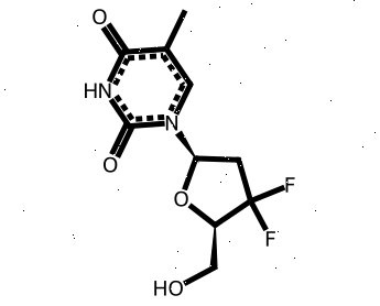 Cc1cn([C@H]2CC(F)(F)[C@@H](CO)O2)c(=O)[nH]c1=O